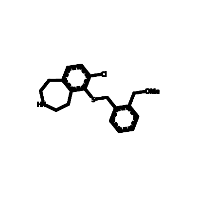 COCc1ccccc1CSc1c(Cl)ccc2c1CCNCC2